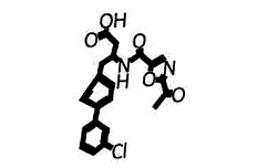 CC(=O)c1ncc(C(=O)NC(CC(=O)O)Cc2ccc(-c3cccc(Cl)c3)cc2)o1